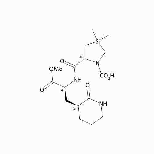 COC(=O)[C@H](C[C@@H]1CCCNC1=O)NC(=O)[C@@H]1C[Si](C)(C)CN1C(=O)O